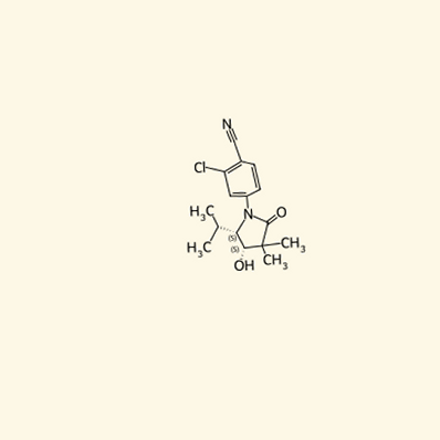 CC(C)[C@H]1[C@@H](O)C(C)(C)C(=O)N1c1ccc(C#N)c(Cl)c1